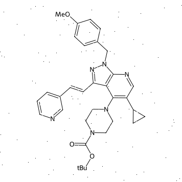 COc1ccc(Cn2nc(C=Cc3cccnc3)c3c(N4CCN(C(=O)OC(C)(C)C)CC4)c(C4CC4)cnc32)cc1